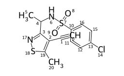 C#Cc1c(C(C)NS(=O)(=O)c2ccc(Cl)cc2)nsc1C